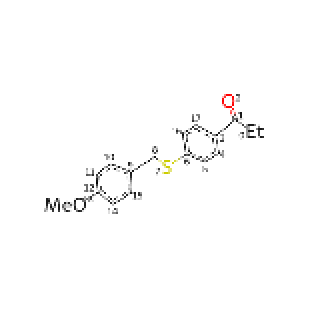 CCC(=O)c1ccc(SCc2ccc(OC)cc2)cc1